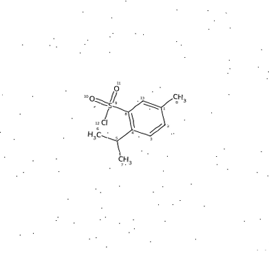 Cc1ccc(C(C)C)c(S(=O)(=O)Cl)c1